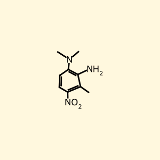 Cc1c([N+](=O)[O-])ccc(N(C)C)c1N